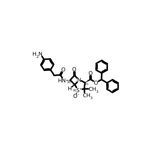 CC1(C)[C@H](C(=O)OC(c2ccccc2)c2ccccc2)N2C(=O)[C@@H](NC(=O)Cc3ccc(N)cc3)[C@H]2[S@@+]1[O-]